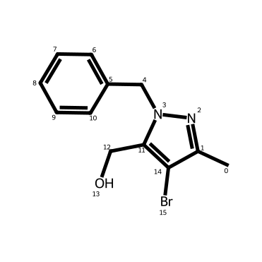 Cc1nn(Cc2ccccc2)c(CO)c1Br